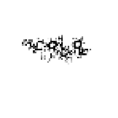 COc1cc(N2CCN(CC=O)CC2)ccc1Nc1ncc(Cl)c(Oc2ccccc2[N+](=O)[O-])n1